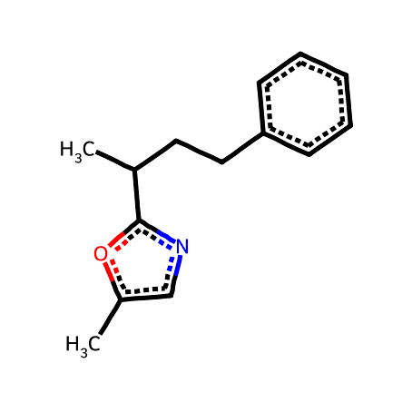 Cc1cnc(C(C)CCc2ccccc2)o1